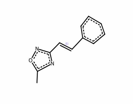 Cc1nc(/C=C/c2ccccc2)no1